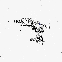 CCN(C(=O)c1cc(F)ccc1Oc1nncnc1N1CCC2(C1)CN([C@H](CCCN(C)CC(CO)OC)C(C)C)C2)C(C)C.O=C(O)/C=C/C(=O)O